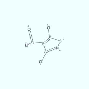 O=C(Cl)c1c(Cl)nsc1Cl